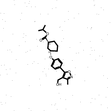 Cc1noc(-c2ccc(O[C@H]3CCC[C@H](C(=O)OC(C)C)C3)cc2)c1CO